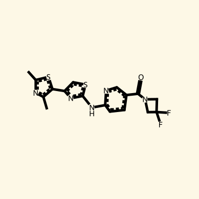 Cc1nc(C)c(-c2csc(Nc3ccc(C(=O)N4CC(F)(F)C4)cn3)n2)s1